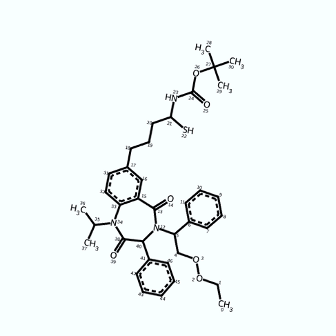 CCOOCC(c1ccccc1)N1C(=O)c2cc(CCCC(S)NC(=O)OC(C)(C)C)ccc2N(C(C)C)C(=O)C1c1ccccc1